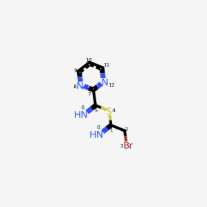 N=C(CBr)SC(=N)c1ncccn1